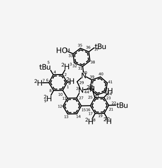 [2H]c1c([2H])c(C(C)(C)C)c([2H])c([2H])c1-c1cccc(-c2c([2H])c([2H])c(C(C)(C)C)c([2H])c2[2H])c1N1CN(c2cc(O)cc(C(C)(C)C)c2)c2ccccc21